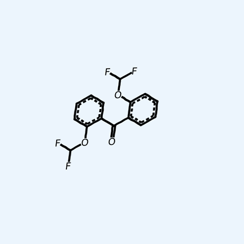 O=C(c1ccccc1OC(F)F)c1ccccc1OC(F)F